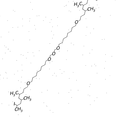 CC(I)CC(C)CC(C)CCCOCCCCCCCCOCOCOCCCCCCCCOCCCC(C)CC(C)CC(C)I